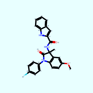 COc1ccc2c(c1)C(C)(NC(=O)c1cc3ccccc3[nH]1)C(=O)N2c1ccc(F)cc1